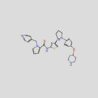 O=C(Nc1nc([C@H]2CCCN2c2ccc(OC3CCNCC3)cc2)cs1)c1cccn1Cc1ccncc1